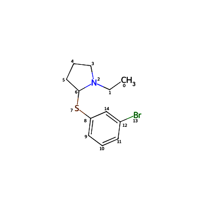 CCN1CCCC1Sc1cccc(Br)c1